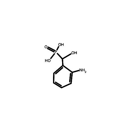 Nc1ccccc1[C](O)P(=O)(O)O